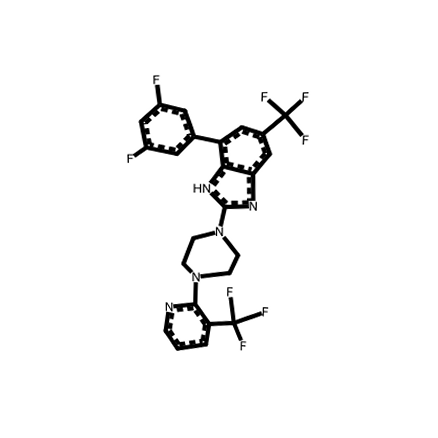 Fc1cc(F)cc(-c2cc(C(F)(F)F)cc3nc(N4CCN(c5ncccc5C(F)(F)F)CC4)[nH]c23)c1